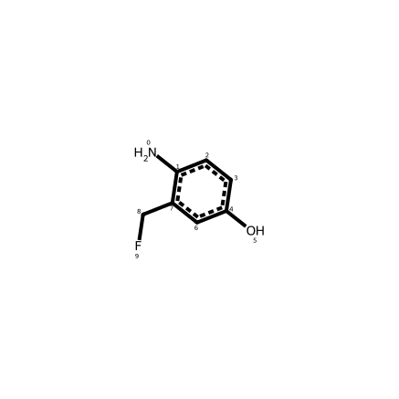 Nc1ccc(O)cc1CF